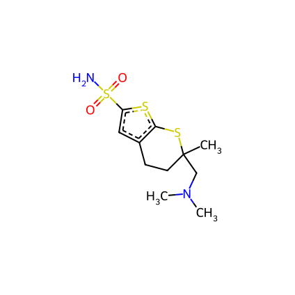 CN(C)CC1(C)CCc2cc(S(N)(=O)=O)sc2S1